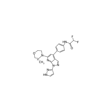 C[C@@H]1COCCN1c1cc(-c2ccc(NC(=O)C(F)F)cc2)c2cnn(-c3cc[nH]n3)c2n1